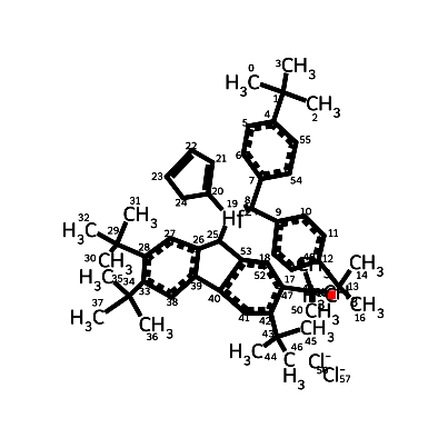 CC(C)(C)c1ccc([C](c2ccc(C(C)(C)C)cc2)=[Hf+2]([C]2=CC=CC2)[CH]2c3cc(C(C)(C)C)c(C(C)(C)C)cc3-c3cc(C(C)(C)C)c(C(C)(C)C)cc32)cc1.[Cl-].[Cl-]